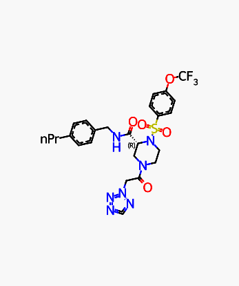 CCCc1ccc(CNC(=O)[C@H]2CN(C(=O)Cn3ncnn3)CCN2S(=O)(=O)c2ccc(OC(F)(F)F)cc2)cc1